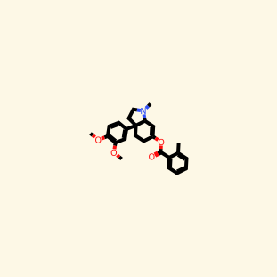 COc1ccc(C23CCC(OC(=O)c4ccccc4C)=CC2N(C)CC3)cc1OC